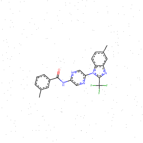 Cc1cccc(C(=O)Nc2cnc(-n3c(C(F)(F)F)nc4cc(C)ccc43)cn2)c1